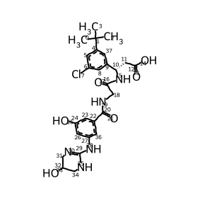 CC(C)(C)c1cc(Cl)cc([C@H](CC(=O)O)NC(=O)CNC(=O)c2cc(O)cc(NC3=NCC(O)CN3)c2)c1